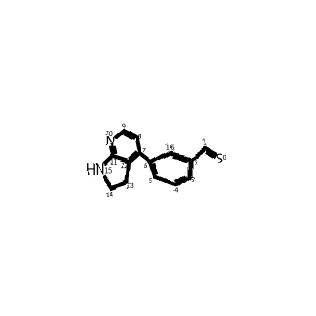 S=Cc1cccc(-c2ccnc3c2CCN3)c1